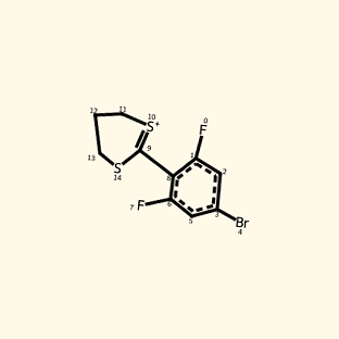 Fc1cc(Br)cc(F)c1C1=[S+]CCCS1